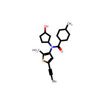 CC1CCC(C(=O)N(c2cc(C#CC(C)(C)C)sc2C(=O)O)C2CCC(O)C2)CC1